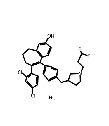 Cl.Oc1ccc2c(c1)CCCC(c1ccc(Cl)cc1Cl)=C2c1ccc(CC2CCN(CCC(F)F)C2)cc1